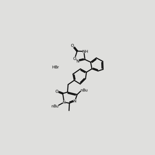 Br.CCCCc1nc(C)n(CCCC)c(=O)c1Cc1ccc(-c2ccccc2-c2noc(=O)[nH]2)cc1